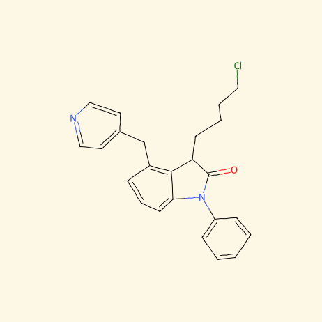 O=C1C(CCCCCl)c2c(Cc3ccncc3)cccc2N1c1ccccc1